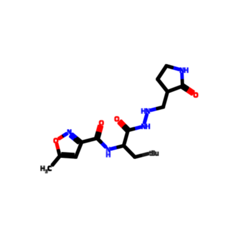 Cc1cc(C(=O)NC(CC(C)(C)C)C(=O)NNCC2CCNC2=O)no1